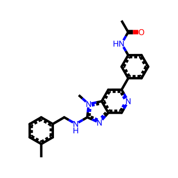 CC(=O)Nc1cccc(-c2cc3c(cn2)nc(NCc2cccc(C)c2)n3C)c1